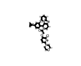 O=C(COc1ccc(N2CCOCC2)nc1Cl)N1CCc2nc3ccccn3c2C1c1ccc(C2CC2)cc1F